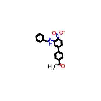 CC(=O)c1ccc(-c2ccc([N+](=O)[O-])c(NCc3ccccc3)c2)cc1